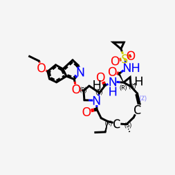 CCOc1ccc2c(O[C@@H]3C[C@H]4C(=O)N[C@]5(C(=O)NS(=O)(=O)C6CC6)C[C@H]5/C=C\CC[C@H](C)C[C@@H](CC)CC(=O)N4C3)nccc2c1